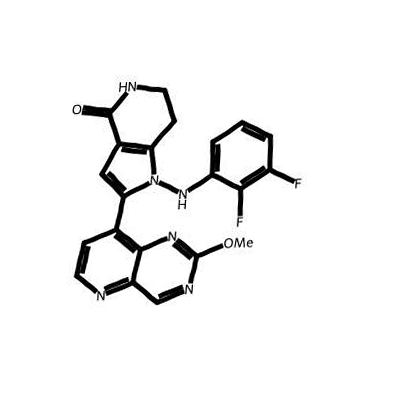 COc1ncc2nccc(-c3cc4c(n3Nc3cccc(F)c3F)CCNC4=O)c2n1